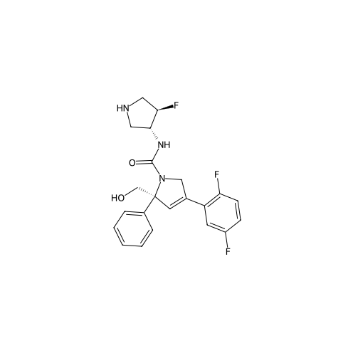 O=C(N[C@@H]1CNC[C@H]1F)N1CC(c2cc(F)ccc2F)=C[C@@]1(CO)c1ccccc1